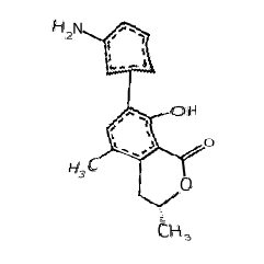 Cc1cc(-c2cccc(N)c2)c(O)c2c1C[C@@H](C)OC2=O